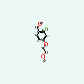 COCCOc1ccc(C=O)c(F)c1